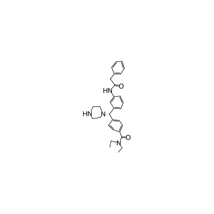 CCN(CC)C(=O)c1ccc([C@@H](c2cccc(NC(=O)Cc3ccccc3)c2)N2CCNCC2)cc1